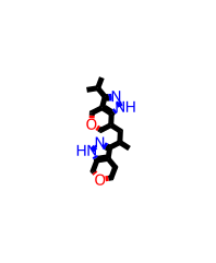 CC(C)c1n[nH]c2c1COCC2CC(C)c1n[nH]c2c1CCOC2